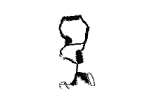 CC(C)C(=O)c1cc2ccccc2s1